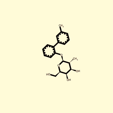 Cc1cccc(-c2ccccc2O[C@@H]2O[C@H](CO)[C@H](O)[C@H](O)[C@H]2C)c1